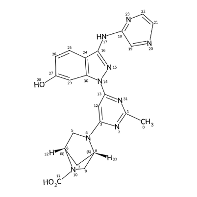 Cc1nc(N2C[C@@H]3C[C@H]2CN3C(=O)O)cc(-n2nc(Nc3cnccn3)c3ccc(O)cc32)n1